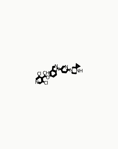 C[C@@H](Oc1ccc2c(cnn2-c2ccc(N3CCNC4(CC4)C3)nc2)c1)c1c(Cl)cncc1Cl